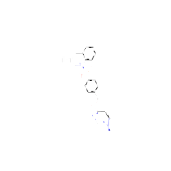 C=N/C=C\C(=N/C)OCc1ccc(S(=O)(=O)N(CC(C)C)c2ccc(C)cc2C)cc1